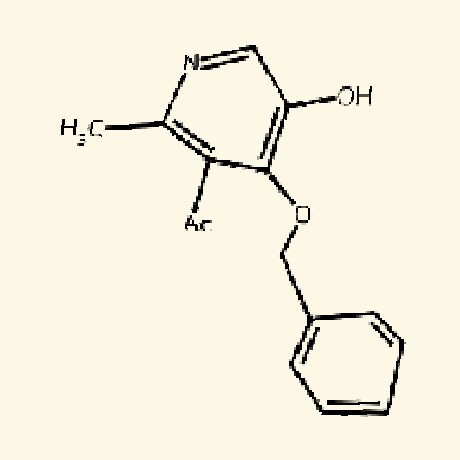 CC(=O)c1c(C)ncc(O)c1OCc1ccccc1